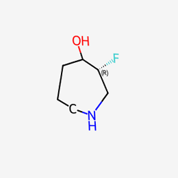 OC1CCCNC[C@H]1F